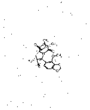 COc1c([C@@H]2N3C(=O)[C@]4(C)SS[C@@]3(C[C@]2(C)C#N)C(=O)N4C)ccc2c1OCO2